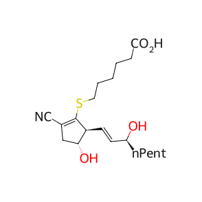 CCCCC[C@H](O)C=C[C@@H]1C(SCCCCCC(=O)O)=C(C#N)C[C@H]1O